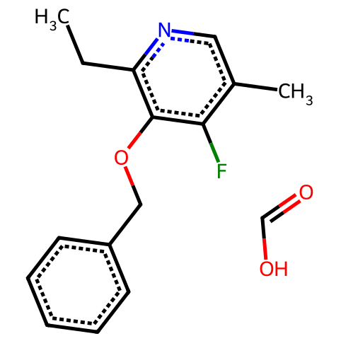 CCc1ncc(C)c(F)c1OCc1ccccc1.O=CO